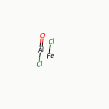 [Cl][Fe].[O]=[Al][Cl]